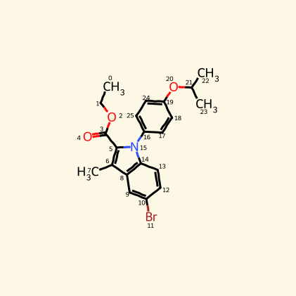 CCOC(=O)c1c(C)c2cc(Br)ccc2n1-c1ccc(OC(C)C)cc1